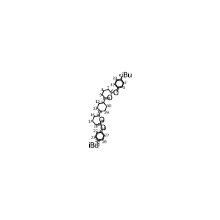 CCC(C)c1ccc(OC2CCCC(C3CCC(C4CCCC(Oc5ccc(C(C)CC)cc5)O4)CC3)O2)cc1